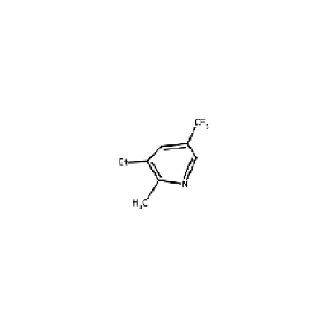 CCc1cc(C(F)(F)F)cnc1C